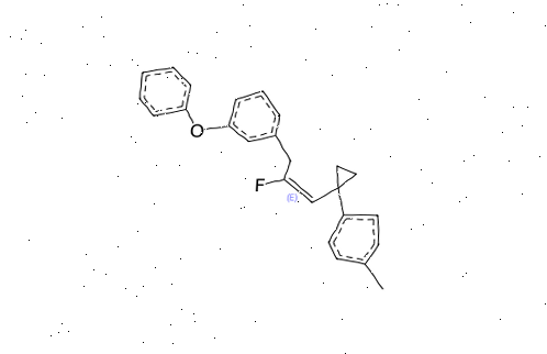 Cc1ccc(C2(/C=C(/F)Cc3cccc(Oc4ccccc4)c3)CC2)cc1